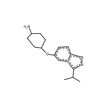 CC(C)c1nnc2ccc(OC3CCC(N)CC3)cn12